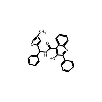 Cc1coc(C(NC(=O)c2c(O)c(-c3ccccc3)nc3ccccc23)c2ccccc2)c1